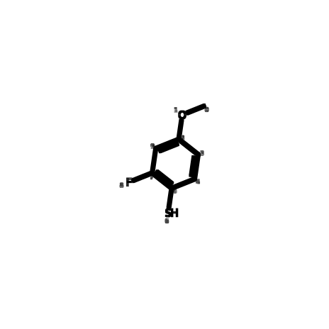 COc1ccc(S)c(F)c1